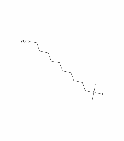 CCCCCCCCCCCCCCCCCC[Si](C)(C)I